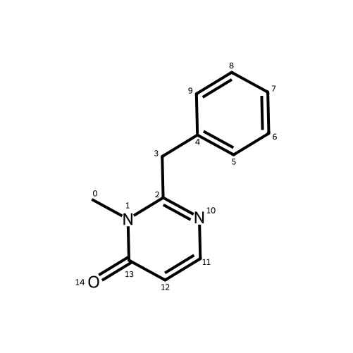 Cn1c(Cc2ccccc2)nccc1=O